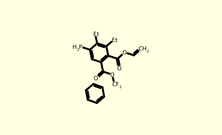 C=COC(=O)c1c(C(=O)OC(F)(F)F)cc(P)c(CC)c1CC.c1ccccc1